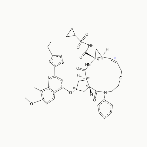 COc1ccc2c(O[C@@H]3C[C@H]4C(=O)N[C@]5(C(=O)NS(=O)(=O)C6CC6)C[C@H]5/C=C\CCCCN(c5ccccc5)C(=O)[C@@H]4C3)cc(-c3nc(C(C)C)cs3)nc2c1C